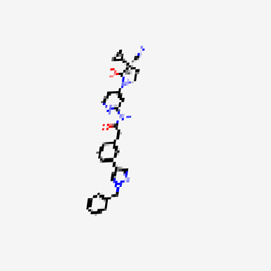 N#C[C@@]1(C2CC2)CCN(c2ccnc(NC(=O)Cc3cccc(-c4cnn(Cc5ccccc5)c4)c3)c2)C1=O